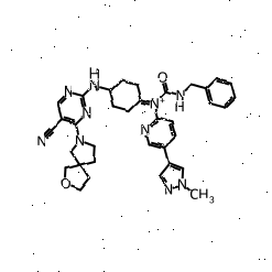 Cn1cc(-c2ccc([N+](C(=O)NCc3ccccc3)=C3CCC(Nc4ncc(C#N)c(N5CCC6(CCOC6)C5)n4)CC3)nc2)cn1